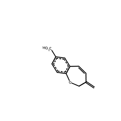 C=C1C=Cc2cc(C(=O)O)ccc2OC1